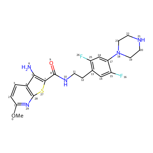 COc1ccc2c(N)c(C(=O)NCCc3cc(F)c(N4CCNCC4)cc3F)sc2n1